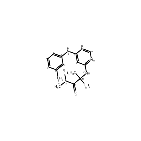 Cc1cccc(Nc2cc(NC(C)(C)C(=O)N(C)C)ncn2)c1